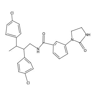 CC(c1ccc(Cl)cc1)C(CNC(=O)c1cccc(N2CCNC2=O)c1)c1ccc(Cl)cc1